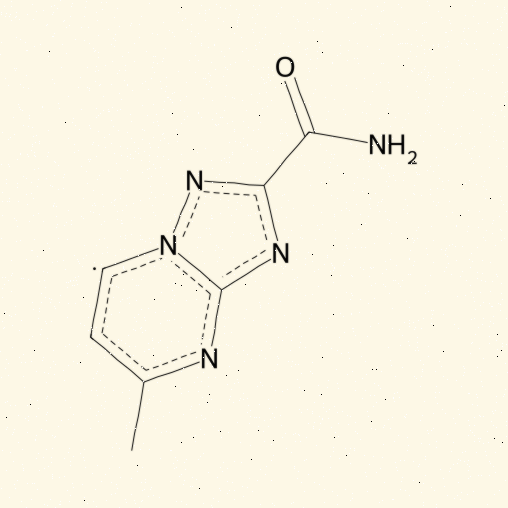 Cc1c[c]n2nc(C(N)=O)nc2n1